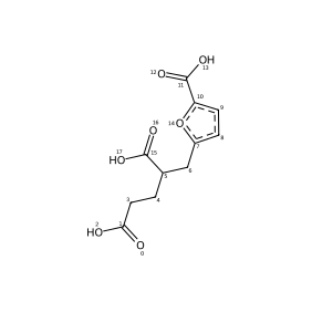 O=C(O)CCC(Cc1ccc(C(=O)O)o1)C(=O)O